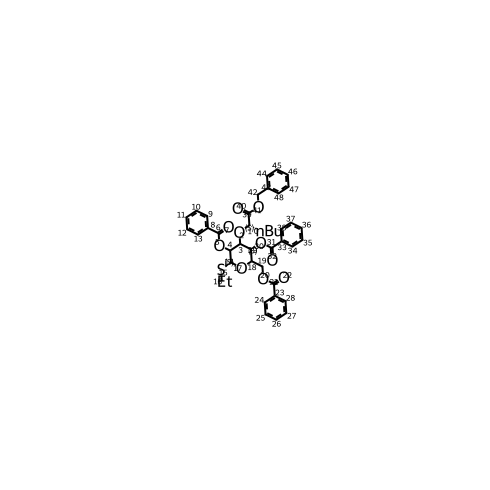 CCCC[C@H](OC1C(OC(=O)c2ccccc2)[C@H](SCC)OC(COC(=O)c2ccccc2)[C@@H]1OC(=O)c1ccccc1)C(=O)OCc1ccccc1